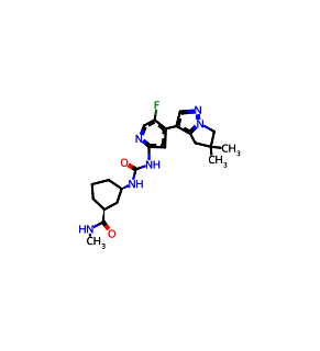 CNC(=O)[C@H]1CCC[C@@H](NC(=O)Nc2cc(-c3cnn4c3CC(C)(C)C4)c(F)cn2)C1